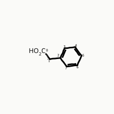 O=C(O)[CH]c1ccccc1